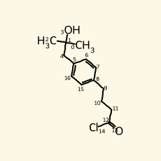 CC(C)(O)Cc1ccc(CCCC(=O)Cl)cc1